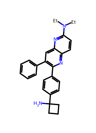 CCN(CC)c1ccc2nc(-c3ccc(C4(N)CCC4)cc3)c(-c3ccccc3)cc2n1